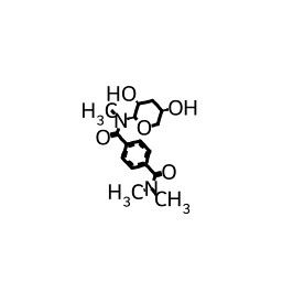 CN(C)C(=O)c1ccc(C(=O)N(C)[C@@H]2OC[C@H](O)C[C@H]2O)cc1